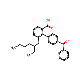 CCCCC(CC)Cc1cccc(C(=O)O)c1-c1ccc(C(=O)c2ccccc2)cc1